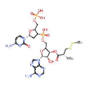 CN[C@@H](CSSC(C)(C)C)C(=O)O[C@@H]1C(COP(=O)(O)[C@H]2C[C@H](n3ccc(N)nc3=O)OC2COP(=O)(O)O)O[C@@H](n2cnc3c(N)ncnc32)[C@@H]1O